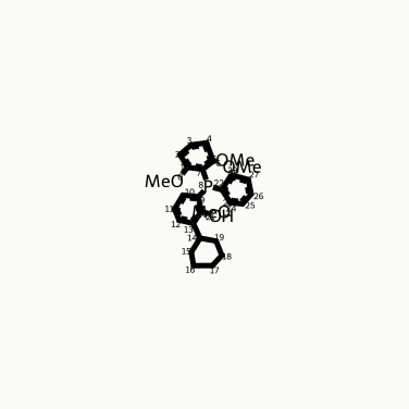 COc1cccc(OC)c1P(c1cccc(C2CCCCC2)c1O)c1c(OC)cccc1OC